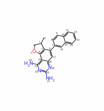 CC1COc2c1c(-c1ccc3ccccc3c1)cc1nc(N)nc(N)c21